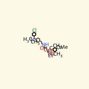 CCN(CCOCC(=O)NCCC1CCC(C(c2ccc(Cl)cc2)N(C)C)CC1)S(=O)(=O)c1c(C)cc(OC)c(C)c1C